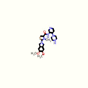 COc1cc2c(cc1OC)CN(C1SC=C(C(=O)Nc3cnccc3N3CCNCC3)N1C)C2